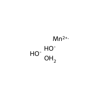 O.[Mn+2].[OH-].[OH-]